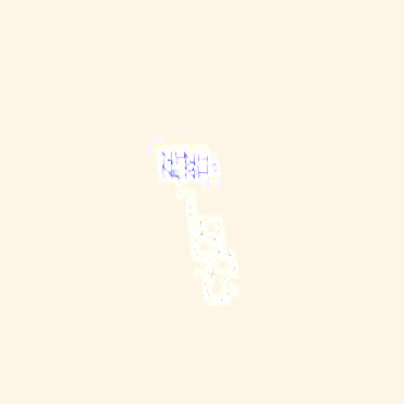 CC12CCCCC1CCC1C2CCC2(C)C(CCC/C(=N/N)NN)CCC12